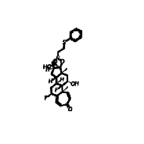 C[C@]12C=CC(=O)C=C=C1[C@@H](F)C[C@H]1[C@@H]3C[C@H]4CN(CCSc5ccccc5)O[C@@]4(C(=O)O)[C@@]3(C)C[C@H](O)[C@@]12F